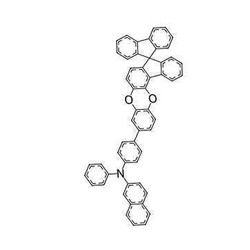 c1ccc(N(c2ccc(-c3ccc4c(c3)Oc3ccc5c(c3O4)-c3ccccc3C53c4ccccc4-c4ccccc43)cc2)c2ccc3ccccc3c2)cc1